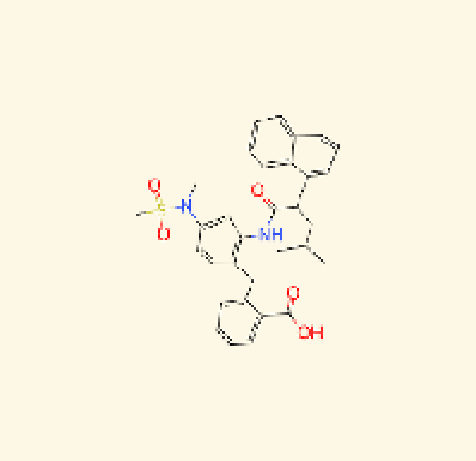 CC(C)CC(C(=O)Nc1cc(N(C)S(C)(=O)=O)ccc1Cc1ccccc1C(=O)O)c1cccc2ccccc12